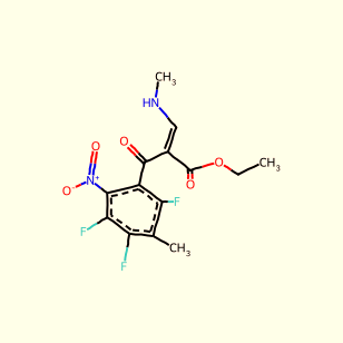 CCOC(=O)/C(=C/NC)C(=O)c1c(F)c(C)c(F)c(F)c1[N+](=O)[O-]